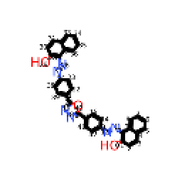 Oc1ccc2ccccc2c1N=Nc1ccc(-c2nnc(-c3ccc(N=Nc4c(O)ccc5ccccc45)cc3)o2)cc1